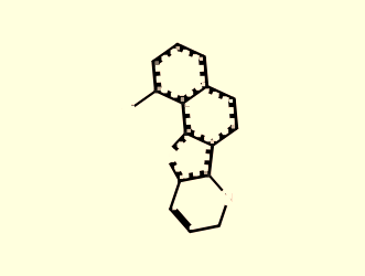 Clc1cccc2ccc3c4c(oc3c12)C=CCN4